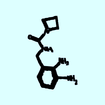 Nc1cccc(CNC(=O)N2CCC2)c1N